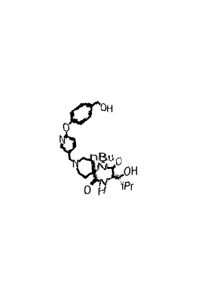 CCCCN1C(=O)[C@@H]([C@H](O)C(C)C)NC(=O)C12CCN(Cc1ccc(Oc3ccc(CO)cc3)nc1)CC2